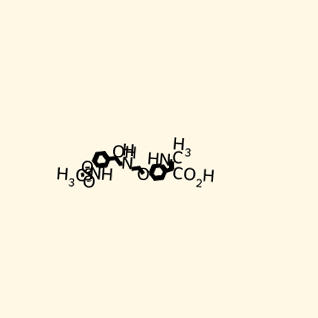 Cc1[nH]c2cc(OCCNC[C@H](O)c3cccc(NS(C)(=O)=O)c3)ccc2c1C(=O)O